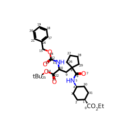 CCOC(=O)[C@H]1CC[C@@H](NC(=O)C2(CC(NC(=O)OCc3ccccc3)C(=O)OC(C)(C)C)CCCC2)CC1